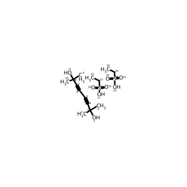 CC(C)(O)C#CC#CC(C)(C)O.CCS(=O)(=O)O.CCS(=O)(=O)O